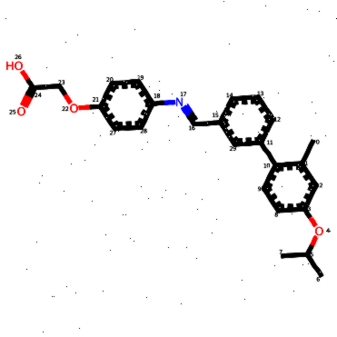 Cc1cc(OC(C)C)ccc1-c1cccc(C=Nc2ccc(OCC(=O)O)cc2)c1